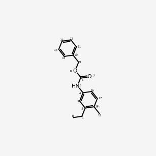 CCc1cc(NC(=O)OCc2ccccc2)ccc1C